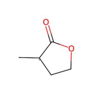 C[C]1CCOC1=O